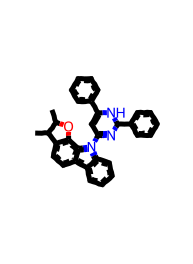 CC1Oc2c(ccc3c4ccccc4n(C4=NC(c5ccccc5)NC(c5ccccc5)=C4)c23)C1C